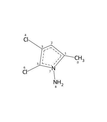 Cc1cc(Cl)c(Cl)n1N